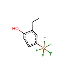 CCc1cc(S(F)(F)(F)(F)F)ccc1O